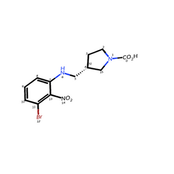 O=C(O)N1CC[C@@H](CNc2cccc(Br)c2[N+](=O)[O-])C1